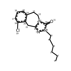 CCCCCCn1nc2n(c1=O)CCc1cccc(Cl)c1C2